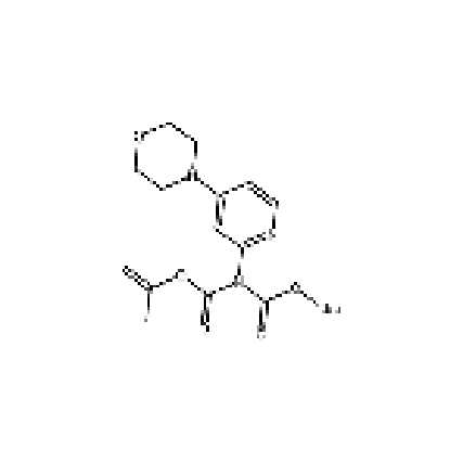 C=C(C)OC(=O)N(C(=O)OC(C)(C)C)c1cc(N2CCOCC2)ccn1